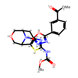 COC(=O)c1cccc(-c2nnc(N3C4COCC3c3sc(NC(=O)OC(C)(C)C)nc3C4)o2)c1